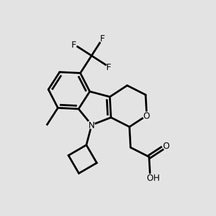 Cc1ccc(C(F)(F)F)c2c3c(n(C4CCC4)c12)C(CC(=O)O)OCC3